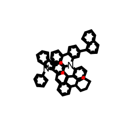 C1=c2cccc(C3CCCCC3)c2=C(c2ccccc2N(c2ccc3c(c2)c2ccccc2n3-c2ccccc2)c2cc(-c3cccc4ccccc34)ccc2-c2ccccc2)CC1